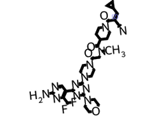 CN(CC(=O)N1CCN(c2nc(-c3cnc(N)nc3C(F)F)nc(N3CCOCC3)n2)CC1)C(=O)C1CCN(C(=O)/C(C#N)=C\C2CC2)CC1